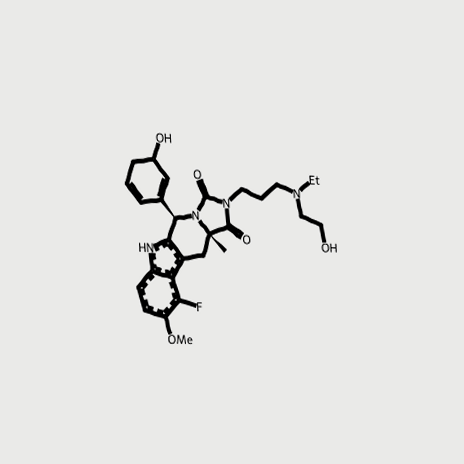 CCN(CCO)CCCN1C(=O)N2[C@H](C3=CC(O)CC=C3)c3[nH]c4ccc(OC)c(F)c4c3C[C@@]2(C)C1=O